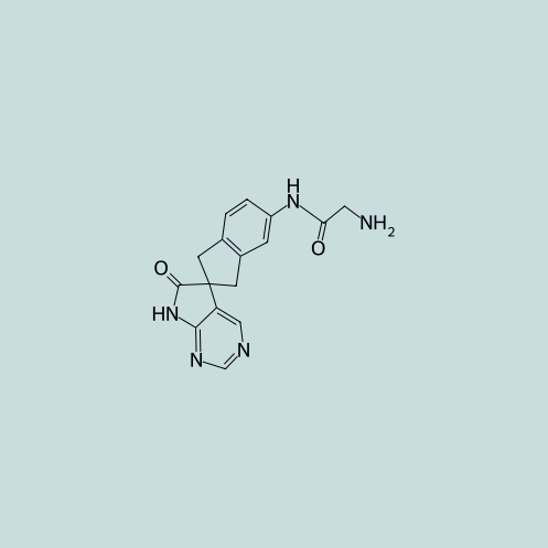 NCC(=O)Nc1ccc2c(c1)CC1(C2)C(=O)Nc2ncncc21